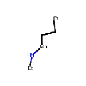 CC[NH][Mn][CH2]CC(C)C